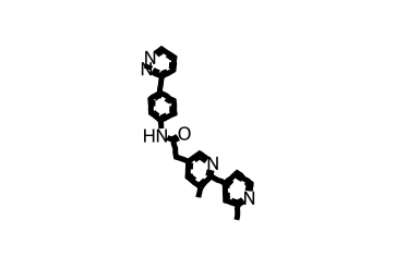 Cc1cc(-c2ncc(CC(=O)Nc3ccc(-c4cccnn4)cc3)cc2C)ccn1